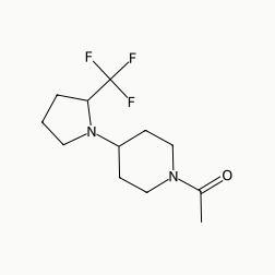 CC(=O)N1CCC(N2CCCC2C(F)(F)F)CC1